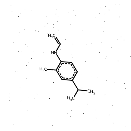 C=CNc1ccc(C(C)C)cc1C